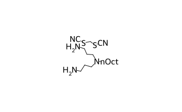 CCCCCCCCN(CCCN)CCCN.N#CSCSC#N